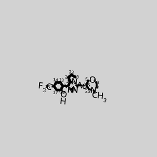 CN1CCOC[C@H]([Au][c]2nnc(-c3ccc(C(F)(F)F)cc3O)c3cccn23)C1